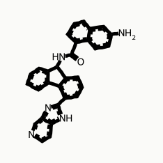 Nc1ccc2c(C(=O)NC3c4ccccc4-c4c(-c5nc6cnccc6[nH]5)cccc43)cccc2c1